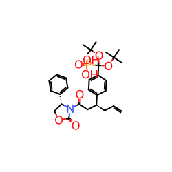 C=CC[C@@H](CC(=O)N1C(=O)OC[C@@H]1c1ccccc1)c1ccc(C(OC(C)(C)C)(OC(C)(C)C)P(=O)(O)O)cc1